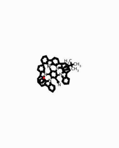 CC(C)(C)c1ccc2c(c1)c1ccc3c4ccccc4oc3c1n2-c1c(C#N)c(-n2c3ccccc3c3ccccc32)c(-n2c3ccccc3c3ccccc32)c(C#N)c1-n1c2ccccc2c2ccccc21